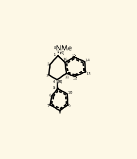 CN[C@H]1CC[C@H](c2ccccc2)c2ccccc21